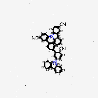 N#Cc1ccc(-n2c3ccccc3c3cc(C#N)ccc32)c(-c2ccc(-c3cc(-n4c5ccccc5c5ccccc54)ccc3C#N)cc2)c1